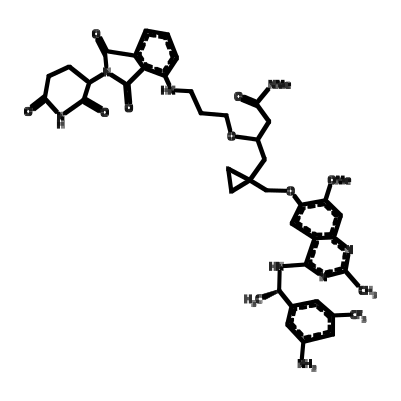 CNC(=O)CC(CC1(COc2cc3c(N[C@H](C)c4cc(N)cc(C(F)(F)F)c4)nc(C)nc3cc2OC)CC1)OCCCNc1cccc2c1C(=O)N(C1CCC(=O)NC1=O)C2=O